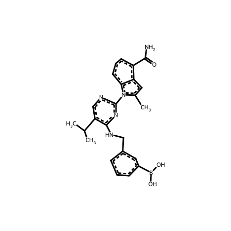 Cc1cc2c(C(N)=O)cccc2n1-c1ncc(C(C)C)c(NCc2cccc(B(O)O)c2)n1